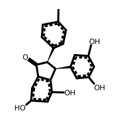 Cc1ccc([C@@H]2C(=O)c3cc(O)cc(O)c3[C@@H]2c2cc(O)cc(O)c2)cc1